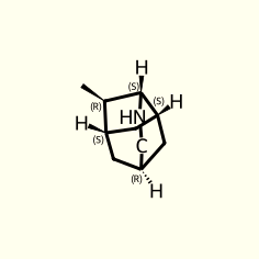 C[C@@H]1[C@H]2C[C@H]3CN[C@H]1[C@H](C3)C2